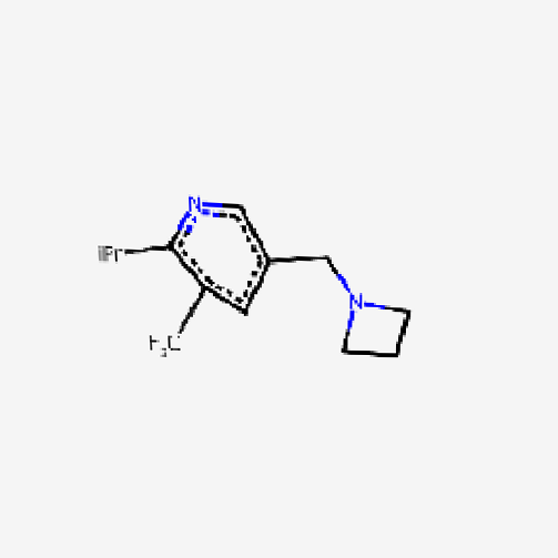 CC(C)c1ncc(CN2CCC2)cc1C(F)(F)F